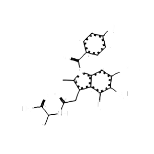 Cc1c(CC(=O)NC(C)C(=O)O)c2c(F)c(O)c(F)cc2n1C(=O)c1ccc(Cl)cc1